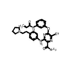 C=CC(=O)Nc1cccc(Oc2nc(Nc3ccc(CCN4CCCC4)cc3)c(C(N)=O)nc2CC)c1